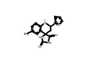 O=C1NC(=O)C2(CC(c3cccs3)Oc3ccc(Br)cc32)N1